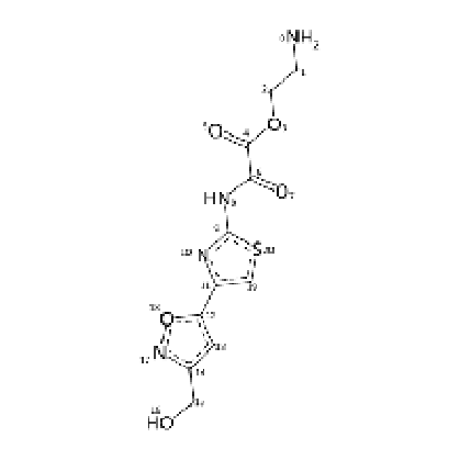 NCCOC(=O)C(=O)Nc1nc(-c2cc(CO)no2)cs1